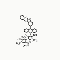 Bc1c(O)c(O)c(-c2c(O)c(B)c(O)c(-c3c4ccccc4c(-c4ccc5oc6cc7ccccc7cc6c5c4)c4ccccc34)c2O)c(O)c1O